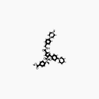 COC(=O)c1ccc(N(C)S(=O)(=O)c2cc(C(=O)NCc3ccc(N4CCN(C)CC4)cc3)sc2-c2ccc(N3CCCCC3)cc2)cc1